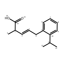 CC(C=CCc1ccccc1C(C)C)C(=O)O